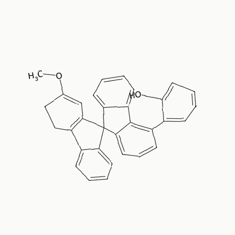 COC1=CC2=C(CC1)c1ccccc1C21c2ccccc2-c2c(-c3ccccc3O)cccc21